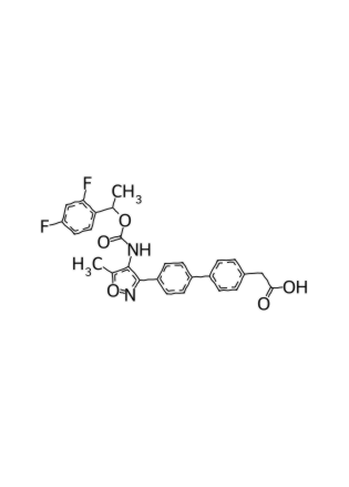 Cc1onc(-c2ccc(-c3ccc(CC(=O)O)cc3)cc2)c1NC(=O)OC(C)c1ccc(F)cc1F